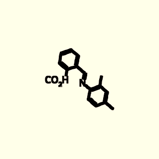 Cc1ccc(N=Cc2ccccc2C(=O)O)c(C)c1